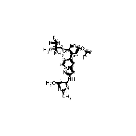 Cc1cc(Nc2cc3cc(-c4cc(OC(F)F)ncc4OC[C@@](C)(N)C(F)(F)F)ccn3n2)nc(C)n1